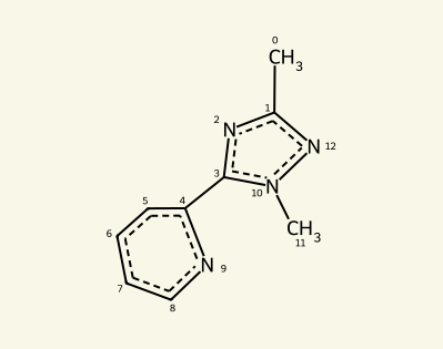 Cc1nc(-c2ccccn2)n(C)n1